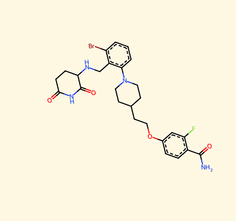 NC(=O)c1ccc(OCCC2CCN(c3cccc(Br)c3CNC3CCC(=O)NC3=O)CC2)cc1F